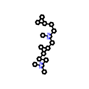 c1ccc(-c2cc(-c3ccccc3-c3ccccc3-c3ccc4c5ccc(-c6cccc(-c7cc(-c8cccc(-c9cccc(-c%10ccc%11c%12ccccc%12c%12ccccc%12c%11c%10)c9)c8)nc(-c8ccccc8)n7)c6)cc5c5ccccc5c4c3)nc(-c3ccccc3)n2)cc1